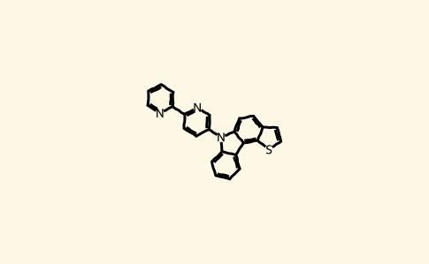 c1ccc(-c2ccc(-n3c4ccccc4c4c5sccc5ccc43)cn2)nc1